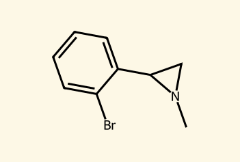 CN1CC1c1ccccc1Br